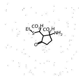 CCSC(C(=O)O)C1C(=O)CCC1(N)C(=O)O